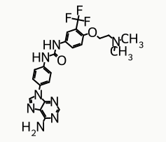 CN(C)CCOc1ccc(NC(=O)Nc2ccc(-n3cnc4c(N)ncnc43)cc2)cc1C(F)(F)F